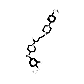 CSc1ccc(NC2CCN(C(=O)CCCN3CCN(c4ccc(C)cc4)CC3)CC2)cc1Cl